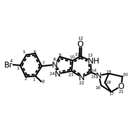 Cc1cc(Br)ccc1-n1cc2c(=O)[nH]c(N3CC4CC3CO4)nc2n1